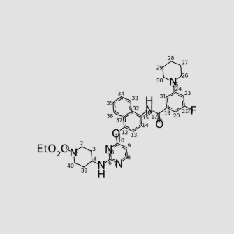 CCOC(=O)N1CCC(Nc2nccc(Oc3ccc(NC(=O)c4cc(F)cc(N5CCCCC5)c4)c4ccccc34)n2)CC1